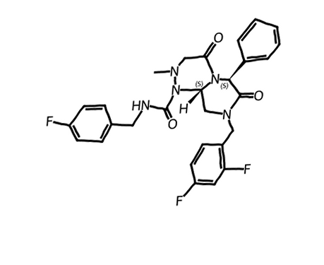 CN1CC(=O)N2[C@@H](c3ccccc3)C(=O)N(Cc3ccc(F)cc3F)C[C@@H]2N1C(=O)NCc1ccc(F)cc1